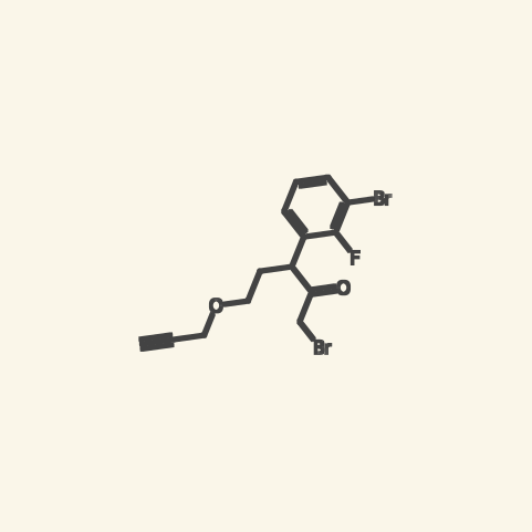 C#CCOCCC(C(=O)CBr)c1cccc(Br)c1F